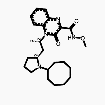 CONC(=O)c1nc2ccccc2n([C@@H](C)C[C@@H]2CCCN2C2CCCCCCC2)c1=O